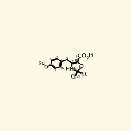 CCOc1ccc(CC2=C(C(=O)O)OC(Cl)(CC)N2)cc1